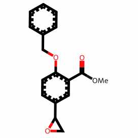 COC(=O)c1cc(C2CO2)ccc1OCc1ccccc1